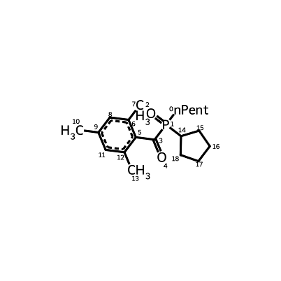 CCCCCP(=O)(C(=O)c1c(C)cc(C)cc1C)C1CCCC1